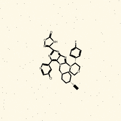 C#C[C@H]1CC[C@H](Cn2c(N3CCOC[C@H]3c3ccc(F)cc3)nc3nc(-c4noc(=O)[nH]4)nc(-c4cncc(Cl)c4)c32)CC1